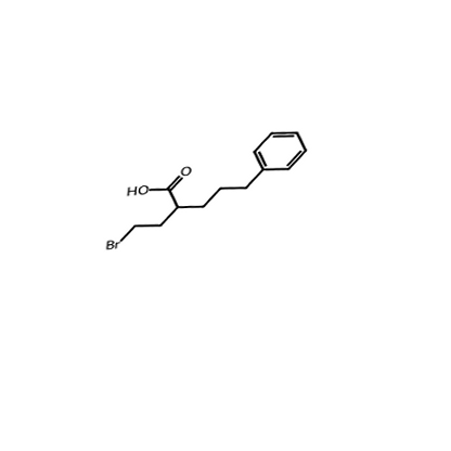 O=C(O)C(CCBr)CCCc1ccccc1